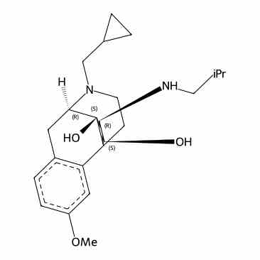 COc1ccc2c(c1)C13CCN(CC4CC4)[C@H](C2)[C@]1(O)C[C@@H](NCC(C)C)[C@@H](O)C3